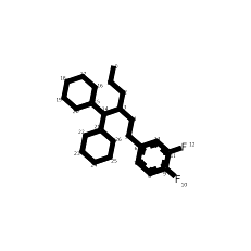 CCCC(CCc1ccc(F)c(F)c1)C(C1CCCCC1)C1CCCCC1